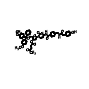 COc1ccc(C(OC[C@H]2O[C@@H](n3ccc(NC(=O)c4ccc(CNC(=O)Cc5ccc(O)cc5)cc4)nc3=O)C[C@H]2OC(=O)CCC(C)=O)(c2ccccc2)c2ccc(OC)cc2)cc1